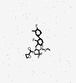 CCSN[C@@H]1[C@H](Cc2cccc(-c3ccc(F)c(C)c3)c2F)N(C(=O)C2CCO2)CC1(F)F